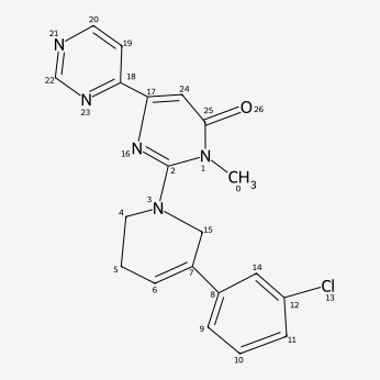 Cn1c(N2CCC=C(c3cccc(Cl)c3)C2)nc(-c2ccncn2)cc1=O